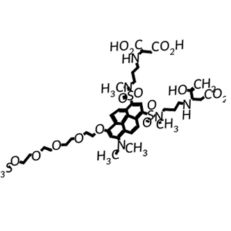 C=C(O)C(CC(=O)O)NCCCN(C)S(=O)(=O)c1cc(S(=O)(=O)N(C)CCCNC(CC(=O)O)C(=O)O)c2ccc3c(OCCOCCOCCOCCOS(=O)(=O)O)cc(N(C)C)c4ccc1c2c34